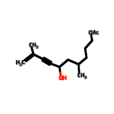 C=C(C)C#CC(O)CC(C)CCCOC(C)=O